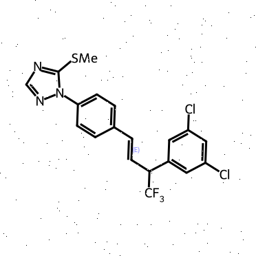 CSc1ncnn1-c1ccc(/C=C/C(c2cc(Cl)cc(Cl)c2)C(F)(F)F)cc1